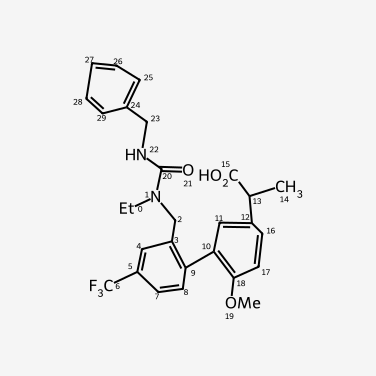 CCN(Cc1cc(C(F)(F)F)ccc1-c1cc(C(C)C(=O)O)ccc1OC)C(=O)NCc1ccccc1